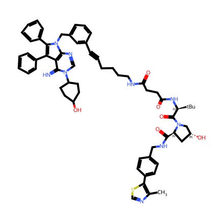 Cc1ncsc1-c1ccc(CNC(=O)[C@@H]2C[C@@H](O)CN2C(=O)[C@@H](NC(=O)CCC(=O)NCCCCC#Cc2cccc(Cn3c(-c4ccccc4)c(-c4ccccc4)c4c(=N)n(C5CCC(O)CC5)cnc43)c2)C(C)(C)C)cc1